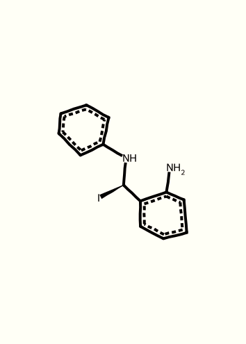 Nc1ccccc1[C@@H](I)Nc1ccccc1